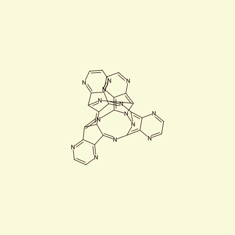 c1cnc2c(n1)-c1nc3c4nccnc4c4nc5c6c(nc7c8nccnc8c(nc-2c16)n7n34)-c1nccnc1-5